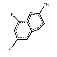 Oc1ccc2cc(Br)cc(F)c2c1